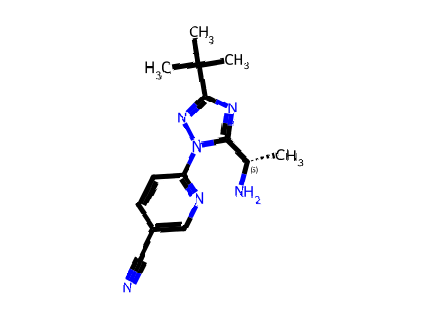 C[C@H](N)c1nc(C(C)(C)C)nn1-c1ccc(C#N)cn1